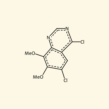 COc1c(Cl)cc2c(Cl)ncnc2c1OC